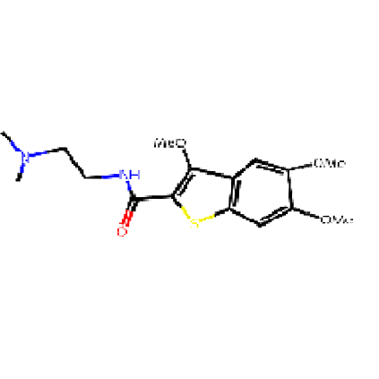 COc1cc2sc(C(=O)NCCN(C)C)c(OC)c2cc1OC